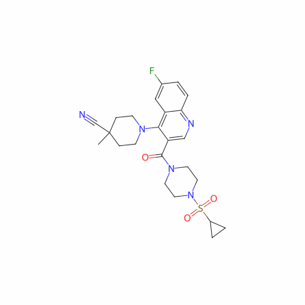 CC1(C#N)CCN(c2c(C(=O)N3CCN(S(=O)(=O)C4CC4)CC3)cnc3ccc(F)cc23)CC1